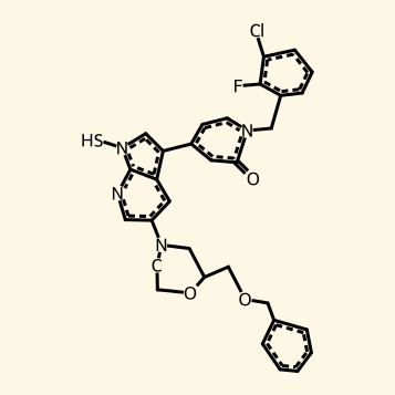 O=c1cc(-c2cn(S)c3ncc(N4CCOC(COCc5ccccc5)C4)cc23)ccn1Cc1cccc(Cl)c1F